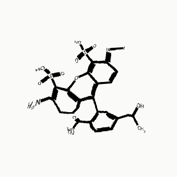 CC(O)c1ccc(C(=O)O)c(-c2c3cc/c(=N\I)c(S(=O)(=O)O)c-3oc3c2CCC(N)=C3S(=O)(=O)O)c1